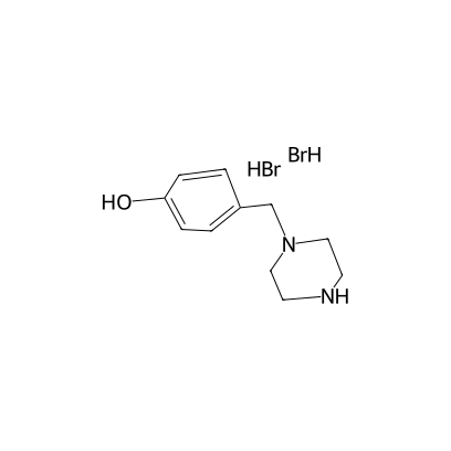 Br.Br.Oc1ccc(CN2CCNCC2)cc1